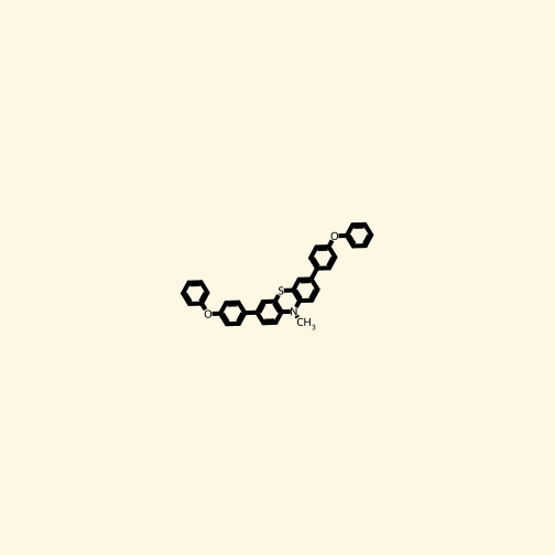 CN1c2ccc(-c3ccc(Oc4ccccc4)cc3)cc2Sc2cc(-c3ccc(Oc4ccccc4)cc3)ccc21